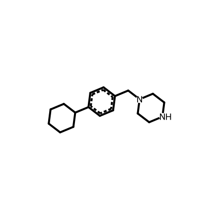 c1cc(C2CCCCC2)ccc1CN1CCNCC1